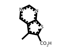 Cc1c(C(=O)O)sc2ncncc12